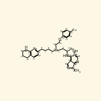 CC(=O)[C@H](CCN(CCCCc1ccc2c(n1)NCCC2)CCOC1=C=C=C(F)C=C1)Nc1c2cnn(C)c2nc[n+]1O